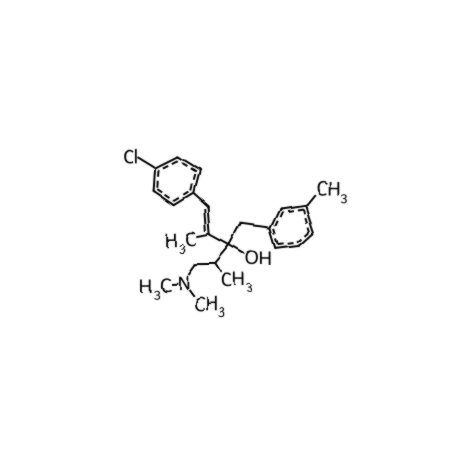 C/C(=C\c1ccc(Cl)cc1)C(O)(Cc1cccc(C)c1)C(C)CN(C)C